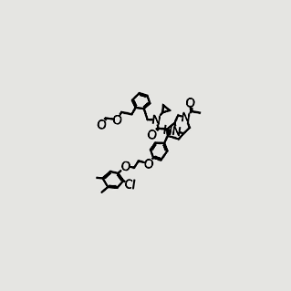 CC(=O)N1CC2CC(c3ccc(OCCOc4cc(C)c(C)cc4Cl)cc3)=C(C(=O)N(Cc3ccccc3CCOC=O)C3CC3)C(C1)N2